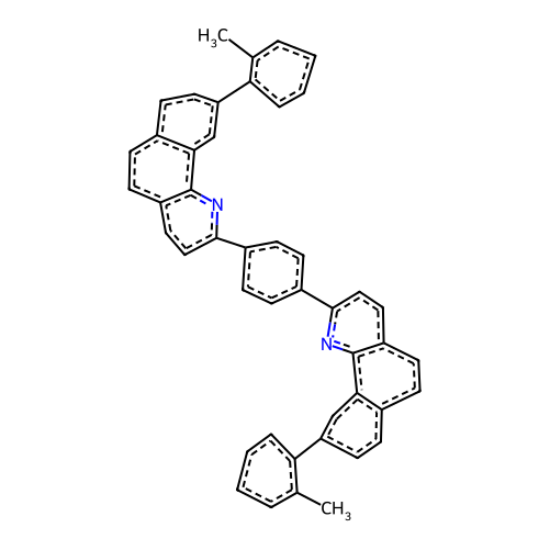 Cc1ccccc1-c1ccc2ccc3ccc(-c4ccc(-c5ccc6ccc7ccc(-c8ccccc8C)cc7c6n5)cc4)nc3c2c1